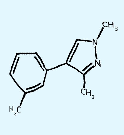 Cc1cccc(-c2cn(C)nc2C)c1